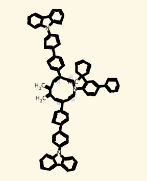 C=C1/C=C(c2ccc(-c3ccc(-n4c5ccccc5c5ccccc54)cc3)cc2)\C=C/N(c2ccc(-c3ccccc3)cc2C2(C)C=CC=CC2)/C=C\C(c2ccc(-c3ccc(-n4c5ccccc5c5ccccc54)cc3)cc2)=C/C1=C